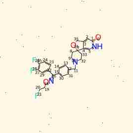 O=c1cc2c(c[nH]1)C1(CCN(Cc3ccc(C(=NOCCF)c4ccc(F)c(F)c4)cc3)CC1)OC2